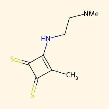 CNCCNc1c(C)c(=S)c1=S